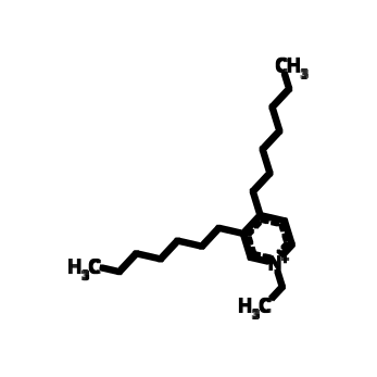 CCCCCCCc1cc[n+](CC)cc1CCCCCCC